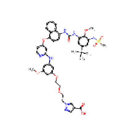 COc1cc(Nc2cc(Oc3ccc(NC(=O)Nc4cc(C(C)(C)C)cc(NS(C)(=O)=O)c4OC)c4ccccc34)ccn2)cc(OCCOCCn2cc(C(=O)O)cn2)c1